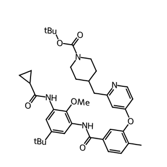 COc1c(NC(=O)c2ccc(C)c(Oc3ccnc(CC4CCN(C(=O)OC(C)(C)C)CC4)c3)c2)cc(C(C)(C)C)cc1NC(=O)C1CC1